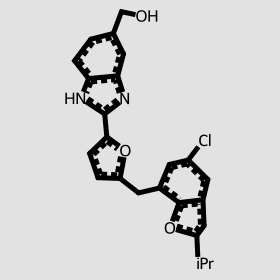 CC(C)c1cc2cc(Cl)cc(Cc3ccc(-c4nc5cc(CO)ccc5[nH]4)o3)c2o1